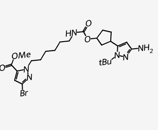 COC(=O)c1cc(Br)nn1CCCCCCNC(=O)OC1CCC(c2cc(N)nn2C(C)(C)C)C1